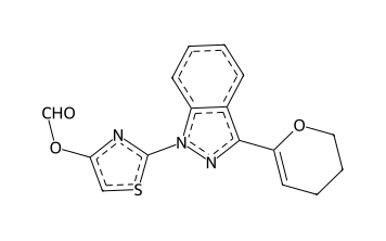 O=COc1csc(-n2nc(C3=CCCCO3)c3ccccc32)n1